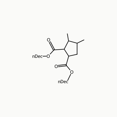 CCCCCCCCCCOC(=O)C1CC(C)C(C)C1C(=O)OCCCCCCCCCC